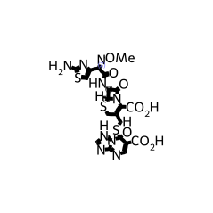 CO/N=C(\C(=O)N[C@@H]1C(=O)N2C(C(=O)O)=C(CSC3(O)C(C(=O)O)=CN=C4N=CNN43)CS[C@H]12)c1csc(N)n1